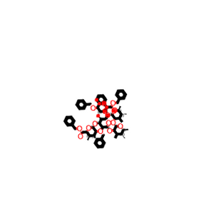 CC1C(O[C@@H]2OC(COCc3ccccc3)[C@H](C)[C@H](O[C@@H]3OC(C(=O)OCc4ccccc4)[C@H](C)[C@H](C)C3OCc3ccccc3)C2C)[C@H](OC2C(C)[C@@H](C)[C@H](C)O[C@H]2O[C@H]2C(C(=O)OCc3ccccc3)O[C@@H](C)C(OCc3ccccc3)[C@H]2C)O[C@@H](C)[C@@H]1C